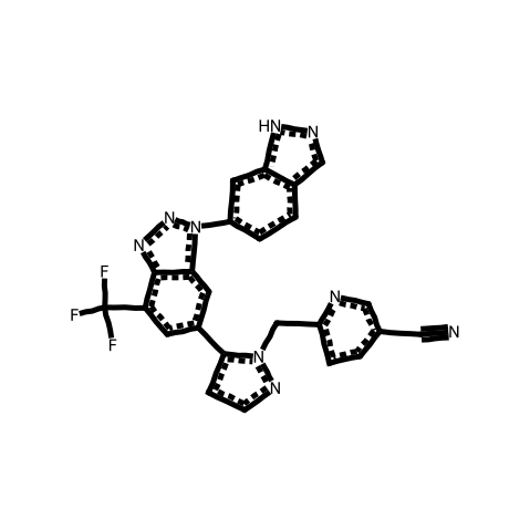 N#Cc1ccc(Cn2nccc2-c2cc(C(F)(F)F)c3nnn(-c4ccc5cn[nH]c5c4)c3c2)nc1